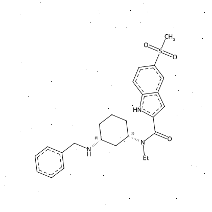 CCN(C(=O)c1cc2cc(S(C)(=O)=O)ccc2[nH]1)[C@H]1CCC[C@@H](NCc2ccccc2)C1